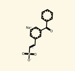 O=C(c1ccccc1)c1cccc(/C=C/S(=O)(=O)[O-])c1.[Na+]